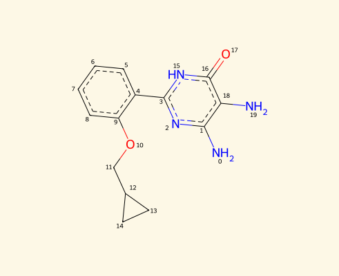 Nc1nc(-c2ccccc2OCC2CC2)[nH]c(=O)c1N